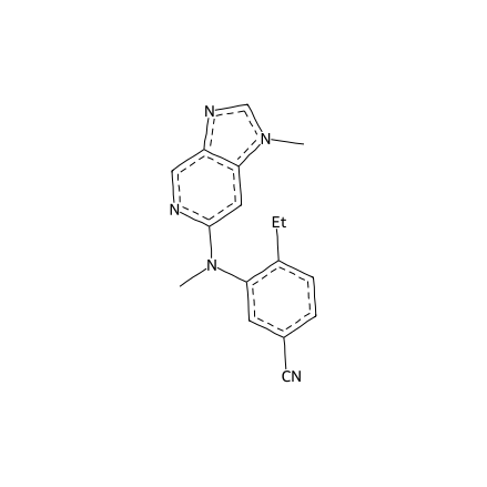 CCc1ccc(C#N)cc1N(C)c1cc2c(cn1)ncn2C